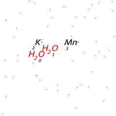 O.O.[K].[Mn]